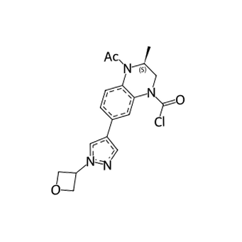 CC(=O)N1c2ccc(-c3cnn(C4COC4)c3)cc2N(C(=O)Cl)C[C@@H]1C